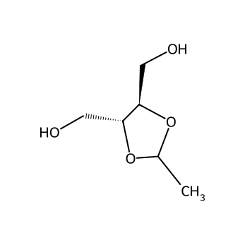 CC1O[C@H](CO)[C@@H](CO)O1